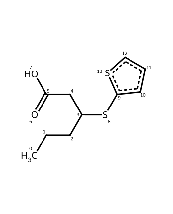 CCCC(CC(=O)O)Sc1cccs1